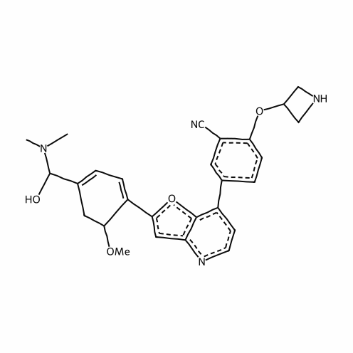 COC1CC(C(O)N(C)C)=CC=C1c1cc2nccc(-c3ccc(OC4CNC4)c(C#N)c3)c2o1